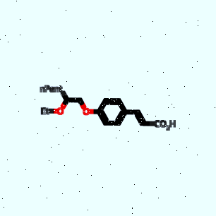 CCCCCC(COc1ccc(C=CC(=O)O)cc1)OCC